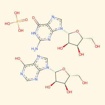 Nc1nc2c(ncn2[C@@H]2O[C@H](CO)[C@@H](O)[C@H]2O)c(=O)[nH]1.O=P(O)(O)O.OC[C@H]1O[C@@H](n2cnc3c(O)ncnc32)[C@H](O)[C@@H]1O